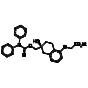 CCOC(=O)COc1cccc2c1CC[C@@](O)(COC(=O)N(c1ccccc1)c1ccccc1)C2